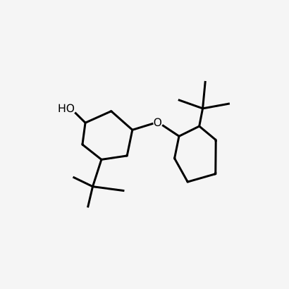 CC(C)(C)C1CC(O)CC(OC2CCCCC2C(C)(C)C)C1